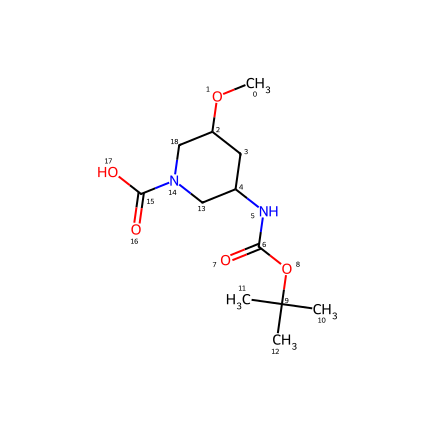 COC1CC(NC(=O)OC(C)(C)C)CN(C(=O)O)C1